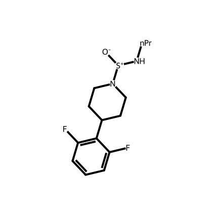 CCCN[S+]([O-])N1CCC(c2c(F)cccc2F)CC1